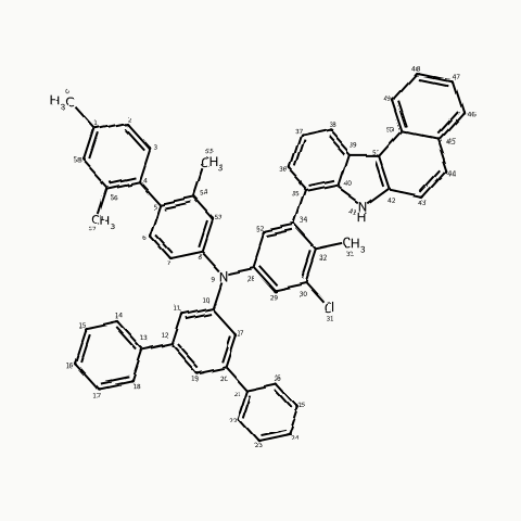 Cc1ccc(-c2ccc(N(c3cc(-c4ccccc4)cc(-c4ccccc4)c3)c3cc(Cl)c(C)c(-c4cccc5c4[nH]c4ccc6ccccc6c45)c3)cc2C)c(C)c1